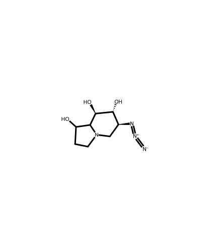 [N-]=[N+]=N[C@H]1CN2CCC(O)C2[C@@H](O)[C@@H]1O